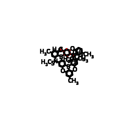 CSN1c2cc3c(cc2B2c4cc(C(C)(C)C)ccc4Oc4cc(C)cc1c42)B1c2cc(B4c5cc(C)ccc5Oc5cc(C)cc(C)c54)c(C)cc2Oc2cc(C)cc(c21)O3